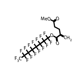 C=C(CCC(=O)OC)C(=O)OC(F)(F)C(F)(F)C(F)(F)C(F)(F)C(F)(F)C(F)(F)C(F)(F)C(F)(F)F